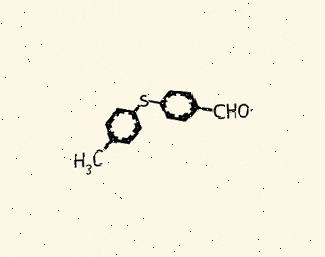 Cc1ccc(Sc2ccc([C]=O)cc2)cc1